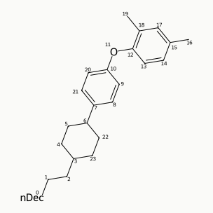 CCCCCCCCCCCCC1CCC(c2ccc(Oc3ccc(C)cc3C)cc2)CC1